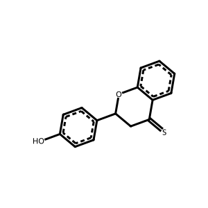 Oc1ccc(C2CC(=S)c3ccccc3O2)cc1